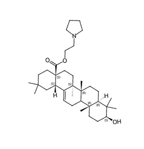 CC1(C)CC[C@]2(C(=O)OCCN3CCCC3)CC[C@]3(C)C(=CCC4[C@@]5(C)CC[C@H](O)C(C)(C)[C@@H]5CC[C@]43C)[C@@H]2C1